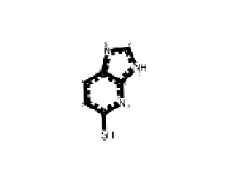 Sc1ccc2nc[nH]c2n1